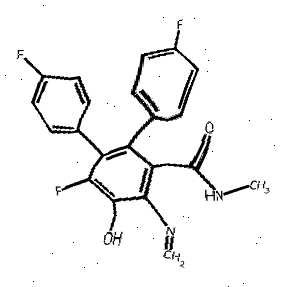 C=Nc1c(O)c(F)c(-c2ccc(F)cc2)c(-c2ccc(F)cc2)c1C(=O)NC